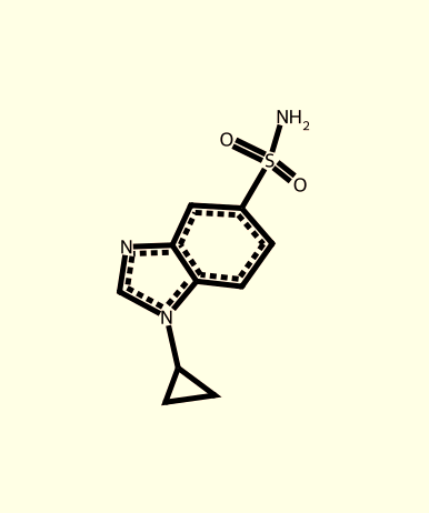 NS(=O)(=O)c1ccc2c(c1)ncn2C1CC1